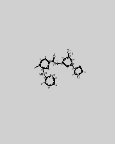 Cc1ccc(C(=O)Nc2cc(-n3ccnc3)cc(C(F)(F)F)c2)cc1Nc1ncccn1